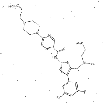 CCC(C)N(CCOC)Cc1sc(NC(=O)c2cnc(N3CCN(CCC(=O)O)CC3)cn2)nc1-c1cc(F)cc(C(F)(F)F)c1